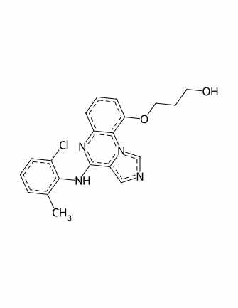 Cc1cccc(Cl)c1Nc1nc2cccc(OCCCO)c2n2cncc12